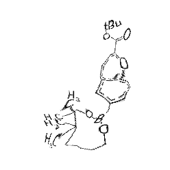 CC(C)(C)OC(=O)c1cc2cc(B3OCCCCC(C)(C)C(C)(C)O3)ccc2o1